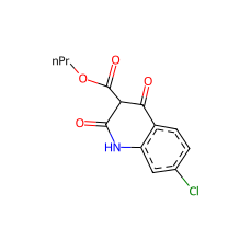 CCCOC(=O)C1C(=O)Nc2cc(Cl)ccc2C1=O